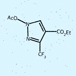 CCOC(=O)c1cn(OC(C)=O)nc1C(F)(F)F